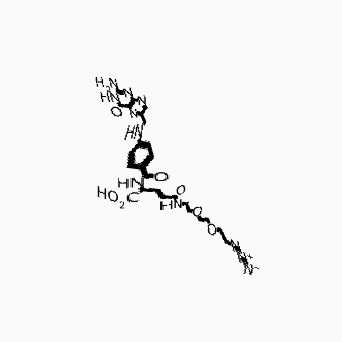 [N-]=[N+]=NCCOCCOCCNC(=O)CC[C@H](NC(=O)c1ccc(NCc2cnc3nc(N)[nH]c(=O)c3n2)cc1)C(=O)O